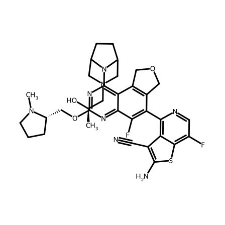 C[C@@H](O)CN1CC2CCC(C1)N2c1nc(OC[C@@H]2CCCN2C)nc2c(F)c(-c3ncc(F)c4sc(N)c(C#N)c34)c3c(c12)COC3